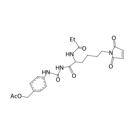 CCC(=O)NC(CCCCN1C(=O)C=CC1=O)C(=O)NC(=O)Nc1ccc(COC(C)=O)cc1